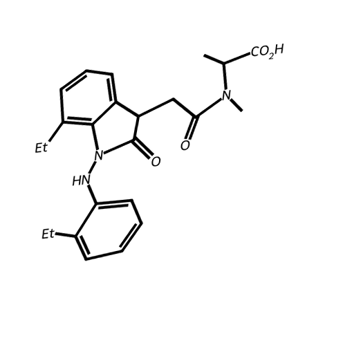 CCc1ccccc1NN1C(=O)C(CC(=O)N(C)C(C)C(=O)O)c2cccc(CC)c21